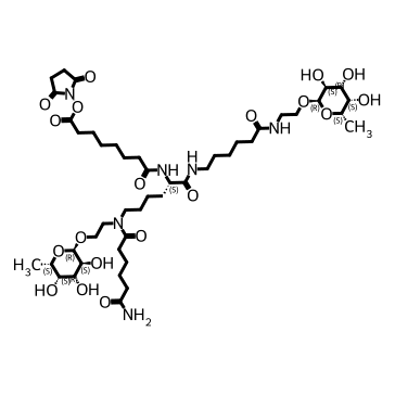 C[C@@H]1O[C@@H](OCCNC(=O)CCCCCNC(=O)[C@H](CCCCN(CCO[C@@H]2O[C@@H](C)[C@@H](O)[C@@H](O)[C@@H]2O)C(=O)CCCCC(N)=O)NC(=O)CCCCCCC(=O)ON2C(=O)CCC2=O)[C@@H](O)[C@H](O)[C@@H]1O